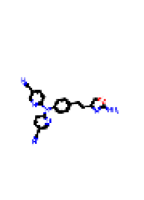 N#Cc1ccc(N(c2ccc(CC[C@H]3COC(N)=N3)cc2)c2ccc(C#N)cn2)nc1